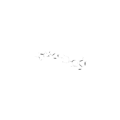 Cc1nsc(NS(=O)(=O)c2ccc(N3CCN(C(=O)C(C)n4ccc5ccc(F)cc54)CC3)cc2)n1